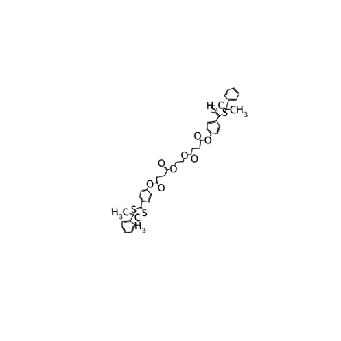 CC(C)(SC(=S)c1ccc(OC(=O)CCC(=O)OCCOC(=O)CCC(=O)Oc2ccc(C(=S)SC(C)(C)c3ccccc3)cc2)cc1)c1ccccc1